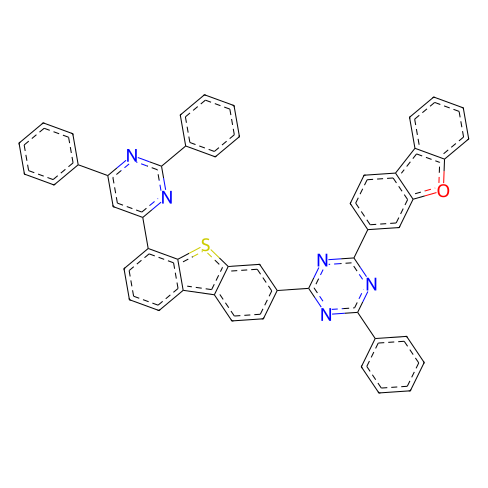 c1ccc(-c2cc(-c3cccc4c3sc3cc(-c5nc(-c6ccccc6)nc(-c6ccc7c(c6)oc6ccccc67)n5)ccc34)nc(-c3ccccc3)n2)cc1